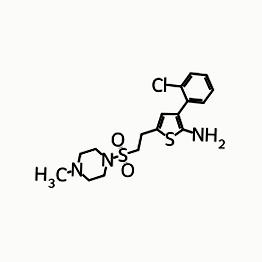 CN1CCN(S(=O)(=O)CCc2cc(-c3ccccc3Cl)c(N)s2)CC1